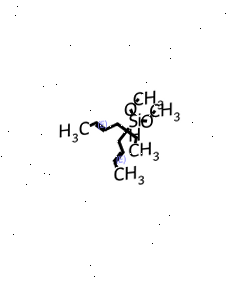 C/C=C/CC(CC)(C/C=C/C)[SiH](OC)OC